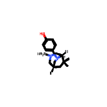 CC1(C)C[C@@H]2CN(C(=O)O)C[C@H]1N(c1ccc(O)cc1)C2